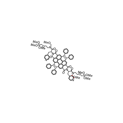 COCN(CCOC[Si](OC)(OC)OC)C(=O)C(Cc1ccncc1)N1C(=O)c2cc(Oc3ccccc3)c3c4c(Oc5ccccc5)cc5c6c(cc(Oc7ccccc7)c(c7c(Oc8ccccc8)cc(c2c37)C1=O)c64)C(=O)N(C(Cc1ccncc1)C(=O)N(CCOC[Si](OC)(OC)OC)COC)C5=O